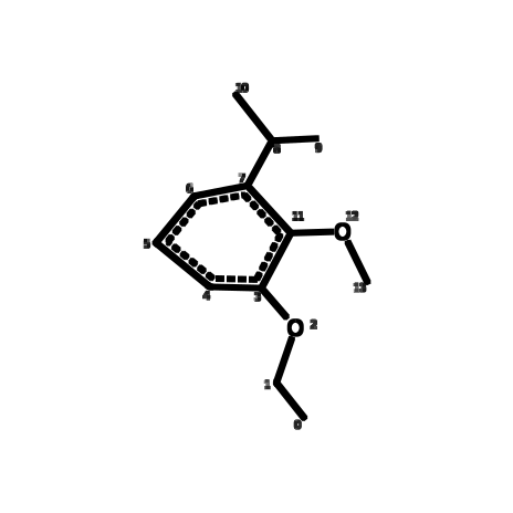 CCOc1cccc([C](C)C)c1OC